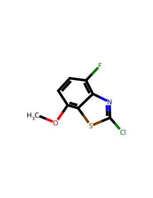 COc1ccc(F)c2nc(Cl)sc12